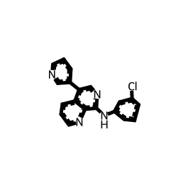 Clc1cccc(Nc2ncc(-c3cccnc3)c3cccnc23)c1